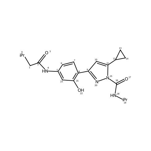 CC(C)CC(=O)Nc1ccc(-c2cc(C3CC3)n(C(=O)NC(C)C)n2)c(O)c1